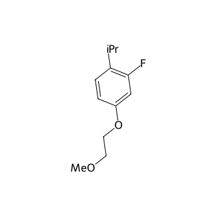 COCCOc1ccc(C(C)C)c(F)c1